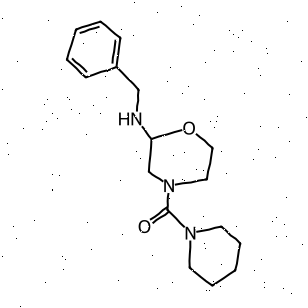 O=C(N1CCCCC1)N1CCOC(NCc2ccccc2)C1